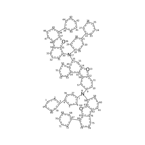 c1ccc(-c2ccc(N(c3ccc4oc5cc(N(c6ccc(-c7ccccc7)cc6)c6cccc7c6oc6c(-c8ccccc8)cccc67)c6ccccc6c5c4c3)c3cccc4c3oc3c(-c5ccccc5)cccc34)cc2)cc1